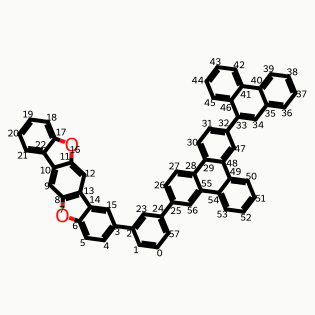 c1cc(-c2ccc3oc4cc5c(cc4c3c2)oc2ccccc25)cc(-c2ccc3c4ccc(-c5cc6ccccc6c6ccccc56)cc4c4ccccc4c3c2)c1